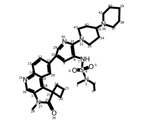 CCN(C)S(=O)(=O)Nc1cc(-c2ccc3ncc4c(c3c2)C2(CCC2)C(=O)N4C)cnc1N1CCC(N2CCCCC2)CC1